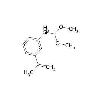 C=C(C)c1cccc([SiH2]C(OC)OC)c1